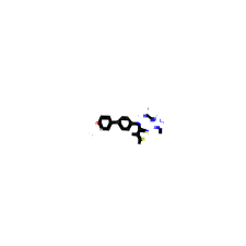 Cc1sc2c(c1C)C(c1ccc(-c3ccc(O)c(C#N)c3)cc1)=N[C@@H](CC(=O)O)c1nnc(C)n1-2